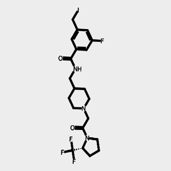 O=C(NCC1CCN(CC(=O)N2CCC[C@@H]2C(F)(F)F)CC1)c1cc(F)cc(CI)c1